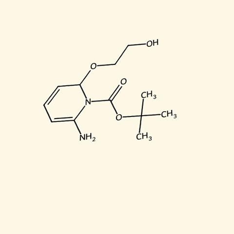 CC(C)(C)OC(=O)N1C(N)=CC=CC1OCCO